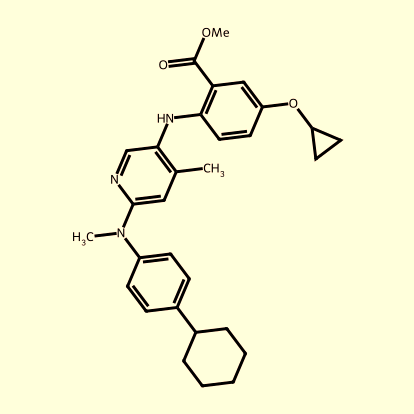 COC(=O)c1cc(OC2CC2)ccc1Nc1cnc(N(C)c2ccc(C3CCCCC3)cc2)cc1C